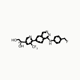 OC[C@H](O)c1cnc(-c2ccc3c(Nc4ccc(CF)cc4)nncc3c2)c(C(F)(F)F)c1